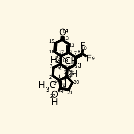 C[C@]12CC[C@H]3[C@@H](CC(=C(F)F)C4=CC(=O)C=C[C@@]43C)[C@@H]1CC[C@H]2O